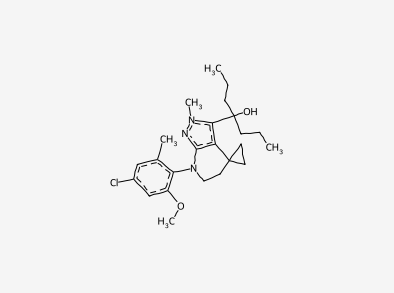 CCCC(O)(CCC)c1c2c(nn1C)N(c1c(C)cc(Cl)cc1OC)CCC21CC1